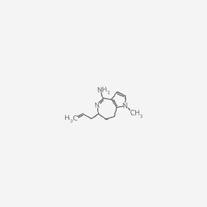 C=CCC1CCc2c(ccn2C)C(N)=N1